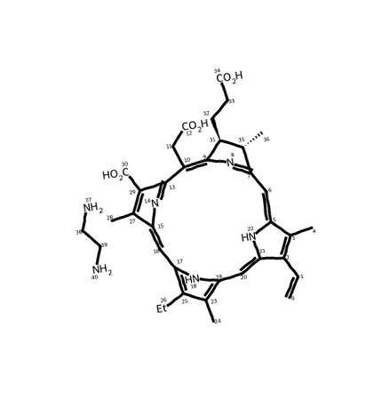 C=Cc1c(C)c2cc3nc(c(CC(=O)O)c4nc(cc5[nH]c(cc1[nH]2)c(C)c5CC)C(C)=C4C(=O)O)[C@@H](CCC(=O)O)[C@@H]3C.NCCN